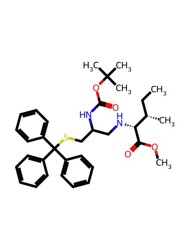 CC[C@H](C)[C@@H](NCC(CSC(c1ccccc1)(c1ccccc1)c1ccccc1)NC(=O)OC(C)(C)C)C(=O)OC